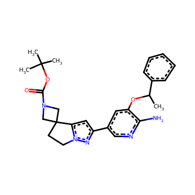 CC(Oc1cc(-c2cc3n(n2)CCC32CN(C(=O)OC(C)(C)C)C2)cnc1N)c1ccccc1